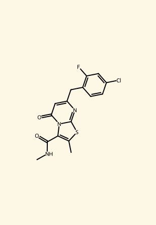 CNC(=O)c1c(C)sc2nc(Cc3ccc(Cl)cc3F)cc(=O)n12